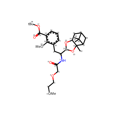 COCCOCC(=O)NC(Cc1cccc(C(=O)OC(C)(C)C)c1OC)B1OC2CC3CC(C3(C)C)C2(C)O1